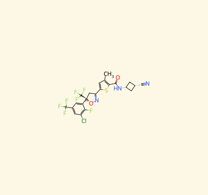 Cc1cc(C2=NO[C@@](c3cc(C(F)(F)F)cc(Cl)c3F)(C(F)(F)F)C2)sc1C(=O)N[C@H]1C[C@@H](C#N)C1